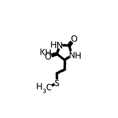 CSCCC1NC(=O)NC1=O.[KH]